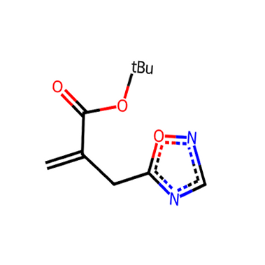 C=C(Cc1ncno1)C(=O)OC(C)(C)C